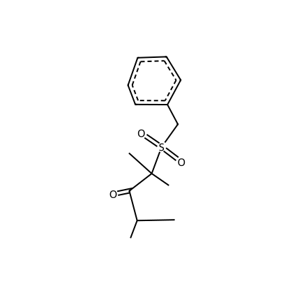 CC(C)C(=O)C(C)(C)S(=O)(=O)Cc1ccccc1